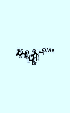 COCCNC(=O)c1cc(Br)c[n+](CC(=O)c2cccs2)c1